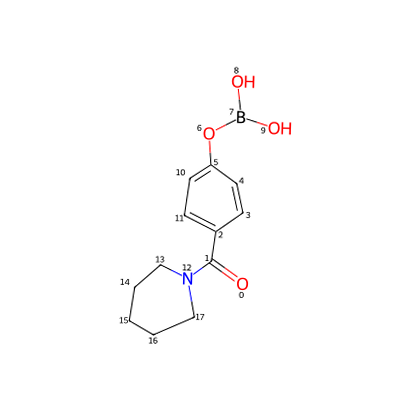 O=C(c1ccc(OB(O)O)cc1)N1CCCCC1